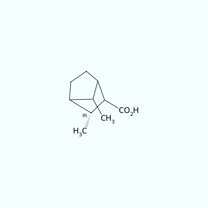 CC1C2CCC1[C@@H](C)C2C(=O)O